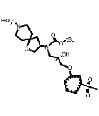 CC(C)(C)OC(=O)N(C[C@H](O)COc1cccc(S(C)(=O)=O)c1)C1COC2(CCN(C(=O)O)CC2)C1